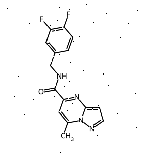 Cc1cc(C(=O)NCc2ccc(F)c(F)c2)nc2ccnn12